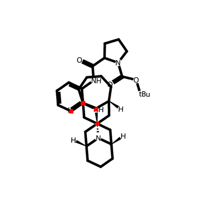 CC(C)(C)OC(=O)N1CCCC1C(=O)Nc1ccccc1N[C@@H]1C[C@H]2CCC[C@@H](C1)N2[C@@H]1C[C@@H]2CCCC[C@@H](C2)C1